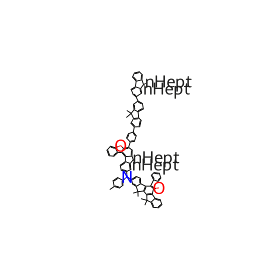 CCCCCCCC1(CCCCCCC)c2ccccc2-c2ccc(-c3ccc4c(c3)C(C)(C)c3cc(-c5ccc(-c6cc7c(c8c6oc6ccccc68)-c6ccc(N(c8ccc(C)cc8)c8ccc9c(c8)C(C)(C)c8c%10c(c%11oc%12ccccc%12c%11c8-9)-c8ccccc8C%10(C)C)cc6C7(CCCCCCC)CCCCCCC)cc5)ccc3-4)cc21